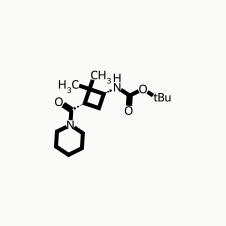 CC(C)(C)OC(=O)N[C@@H]1C[C@H](C(=O)N2CCCCC2)C1(C)C